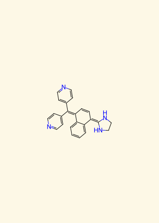 c1ccc2c(=C(c3ccncc3)c3ccncc3)ccc(=C3NCCN3)c2c1